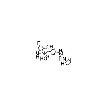 CCc1cc(F)cc(C)c1NC(Cc1ccc(-c2ncc(CNc3ncc[nH]3)s2)cc1)C(=O)O